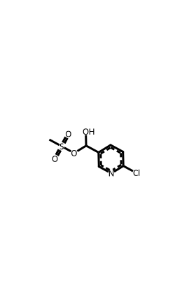 CS(=O)(=O)OC(O)c1ccc(Cl)nc1